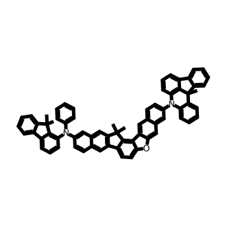 CC1(C)c2ccccc2-c2cccc(N(c3ccccc3)c3ccc4cc5c(cc4c3)C(C)(C)c3c-5ccc4oc5cc6cc(N7c8ccccc8C8(C)c9ccccc9-c9cccc7c98)ccc6cc5c34)c21